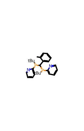 Cc1ccccc1C(P(c1ccccn1)C(C)(C)C)P(c1ccccn1)C(C)(C)C